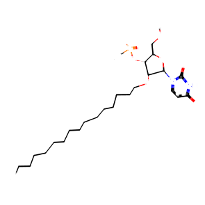 CCCCCCCCCCCCCCCCO[C@@H]1C(n2ccc(=O)[nH]c2=O)OC(COC)[C@@H]1OP(C)(=O)O